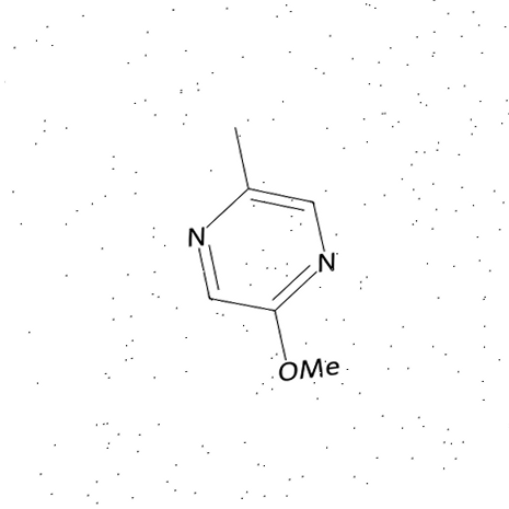 COc1cnc(C)cn1